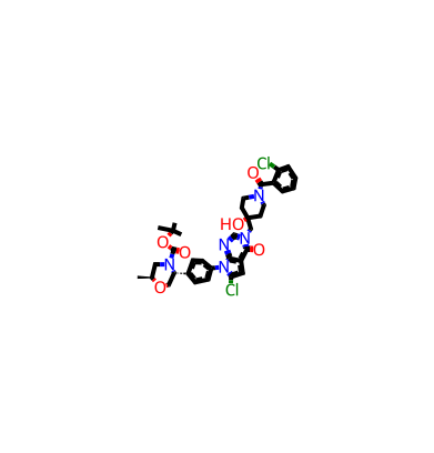 C[C@H]1CN(C(=O)OC(C)(C)C)[C@H](c2ccc(-n3c(Cl)cc4c(=O)n(CC5(O)CCN(C(=O)c6ccccc6Cl)CC5)cnc43)cc2)CO1